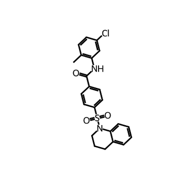 Cc1ccc(Cl)cc1NC(=O)c1ccc(S(=O)(=O)N2CCCc3ccccc32)cc1